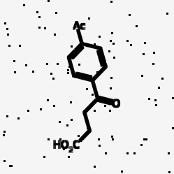 CC(=O)c1ccc(C(=O)CCC(=O)O)cc1